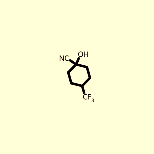 N#CC1(O)CCC(C(F)(F)F)CC1